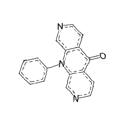 O=c1c2ccncc2n(-c2ccccc2)c2cnccc12